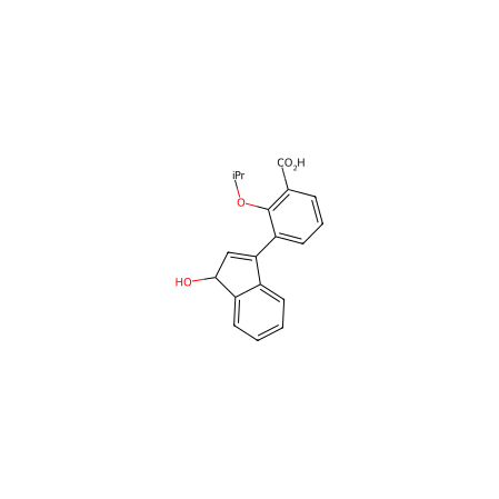 CC(C)Oc1c(C(=O)O)cccc1C1=CC(O)c2ccccc21